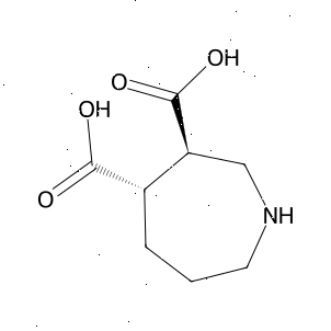 O=C(O)[C@H]1CCCNC[C@@H]1C(=O)O